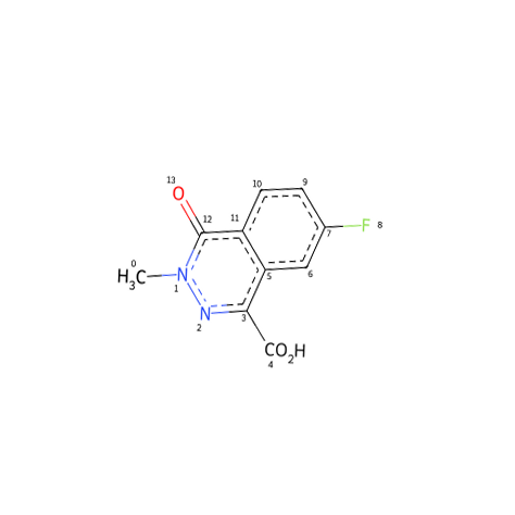 Cn1nc(C(=O)O)c2cc(F)ccc2c1=O